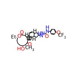 CC[C@H]1CCC[C@H](O)[C@@H](C)C(=O)C2=C[C@@H]3[C@@H](C=C[C@@H]4C/C(=N\NC(=O)Nc5ccc(OC(F)(F)F)cc5)C[C@@H]34)[C@@H]2CC(=O)O1